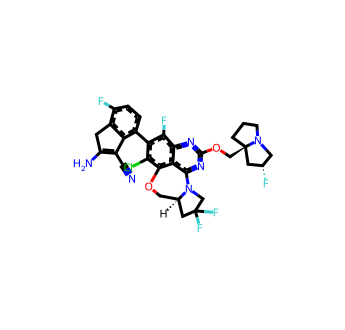 N#CC1=C(N)Cc2c(F)ccc(-c3c(Cl)c4c5c(nc(OC[C@@]67CCCN6C[C@H](F)C7)nc5c3F)N3CC(F)(F)C[C@H]3CO4)c21